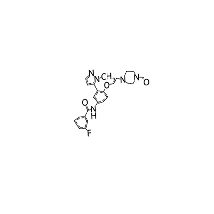 Cn1nccc1-c1cc(NC(=O)c2cccc(F)c2)ccc1OCCN1CCN(C=O)CC1